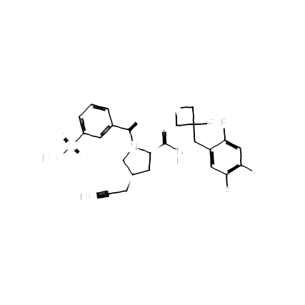 C#CC[C@@H]1C[C@H](C(=O)N[C@@H](c2cc(F)c(Cl)cc2F)C2(F)COC2)N(C(=O)c2cccc(S(C)(=O)=O)c2)C1